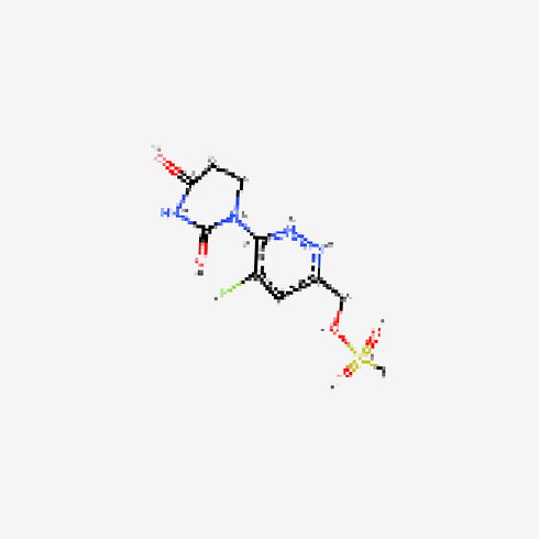 CS(=O)(=O)OCc1cc(F)c(N2CCC(=O)NC2=O)nn1